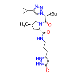 C[C@@H]1C[C@@H](C(=O)NCCCc2cc(=O)[nH][nH]2)N(C(=O)[C@@H](n2cc(C3CC3)nn2)C(C)(C)C)C1